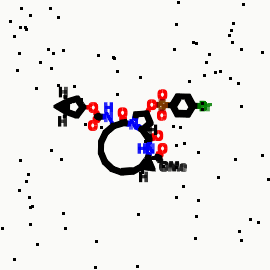 COC(=O)[C@@]12C[C@H]1/C=C\CCCCC[C@H](NC(=O)O[C@@H]1C[C@@H]3C[C@@H]3C1)C(=O)N1C[C@@H](OS(=O)(=O)c3ccc(Br)cc3)C[C@H]1C(=O)N2